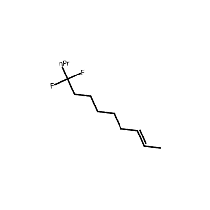 C/C=C/CCCCCC(F)(F)CCC